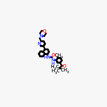 Cc1ccc(C(=O)C(C)(C)C)cc1NC(=O)Nc1ccc(-c2ccc(CN3CCOCC3)nc2)c2ccccc12